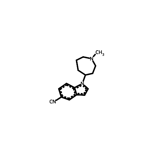 [C-]#[N+]c1ccc2c(ccn2C2CCCN(C)CC2)c1